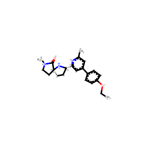 CCOc1ccc(-c2cc(C)nc([C@@H]3CC[C@@]4(CCN(C)C4=O)N3)c2)cc1